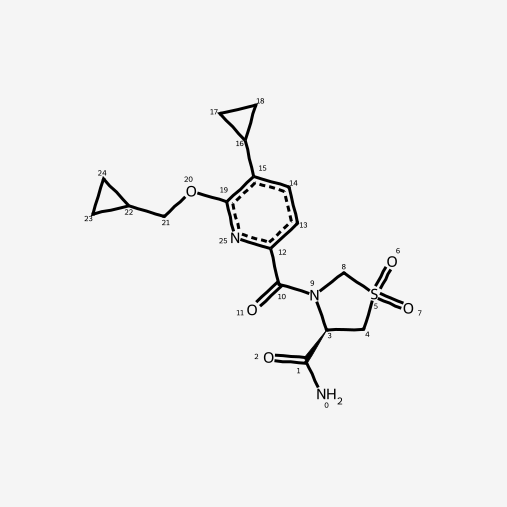 NC(=O)[C@@H]1CS(=O)(=O)CN1C(=O)c1ccc(C2CC2)c(OCC2CC2)n1